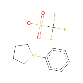 O=S(=O)([O-])C(F)(F)F.c1ccc([S+]2CCCC2)cc1